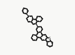 c1ccc(-c2ccc3cc(-c4ccc5c(c4)c4ccccc4c4cc6c(cc54)sc4ccccc46)c4ccccc4c3c2)cc1